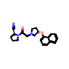 N#C[C@@H]1CCCN1C(=O)CN1CC[C@H](Oc2cccc3ccccc23)C1